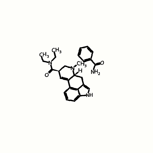 CCN(CC)C(=O)[C@@H]1C=C2c3cccc4[nH]cc(c34)C[C@H]2N(C)C1.NC(=O)c1ccccc1